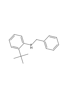 CC(C)(C)c1ccccc1PCc1ccccc1